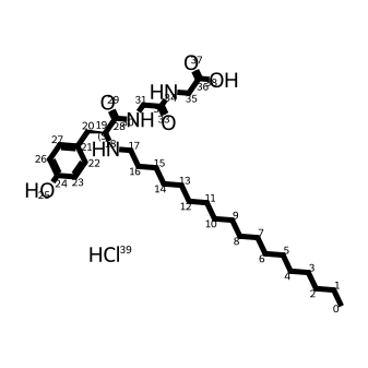 CCCCCCCCCCCCCCCCCCN[C@@H](Cc1ccc(O)cc1)C(=O)NCC(=O)NCC(=O)O.Cl